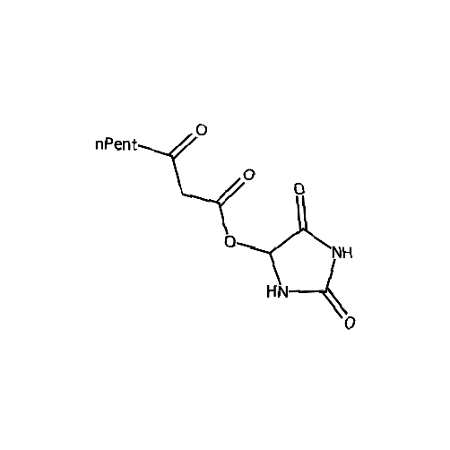 CCCCCC(=O)CC(=O)OC1NC(=O)NC1=O